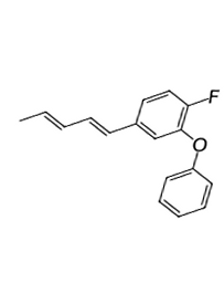 CC=CC=Cc1ccc(F)c(Oc2ccccc2)c1